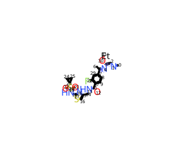 C=N/C=C(\N=C(/C)c1ccc(C(=O)NCc2csc(NS(=O)(=O)C3CC3)n2)c(F)c1)OCC